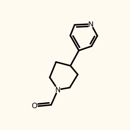 O=CN1CCC(c2ccncc2)CC1